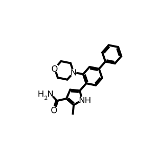 Cc1[nH]c(-c2ccc(-c3ccccc3)cc2N2CCOCC2)cc1C(N)=O